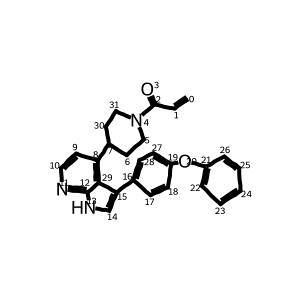 C=CC(=O)N1CCC(c2ccnc3[nH]cc(-c4ccc(Oc5ccccc5)cc4)c23)CC1